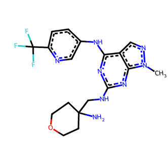 Cn1ncc2c(Nc3ccc(C(F)(F)F)nc3)nc(NCC3(N)CCOCC3)nc21